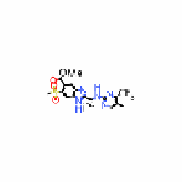 COC(=O)c1cc2nc([C@H](Nc3ncc(C)c(C(F)(F)F)n3)C(C)C)[nH]c2cc1S(C)(=O)=O